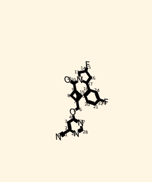 N#Cc1cc(OCC23CC(C(=O)N4CC(F)CC4c4cccc(F)c4)(C2)C3)ncn1